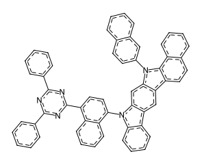 c1ccc(-c2nc(-c3ccccc3)nc(-c3ccc(-n4c5ccccc5c5cc6c7ccc8ccccc8c7n(-c7ccc8ccccc8c7)c6cc54)c4ccccc34)n2)cc1